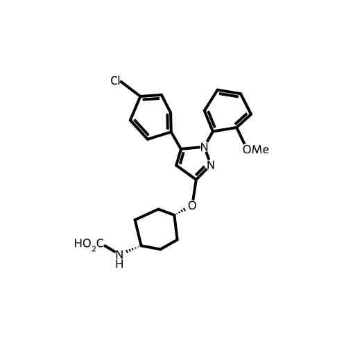 COc1ccccc1-n1nc(O[C@H]2CC[C@@H](NC(=O)O)CC2)cc1-c1ccc(Cl)cc1